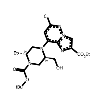 CCOC(=O)c1cn2nc(Cl)cc(N3C[C@@H](CC)N(C(=O)OC(C)(C)C)C[C@@H]3CO)c2n1